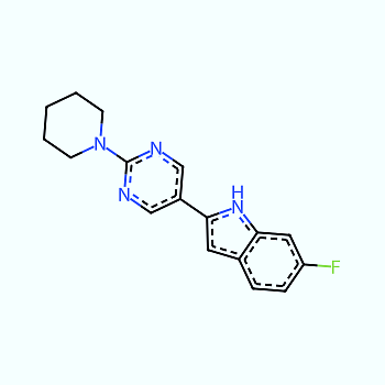 Fc1ccc2cc(-c3cnc(N4CCCCC4)nc3)[nH]c2c1